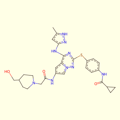 Cc1cc(Nc2nc(Sc3ccc(NC(=O)C4CC4)cc3)nn3cc(NC(=O)CN4CCC(CO)CC4)cc23)n[nH]1